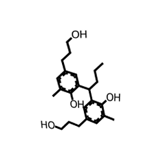 CCCC(c1cc(CCCO)cc(C)c1O)c1cc(CCCO)cc(C)c1O